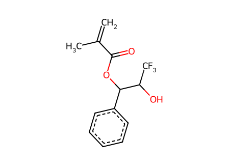 C=C(C)C(=O)OC(c1ccccc1)C(O)C(F)(F)F